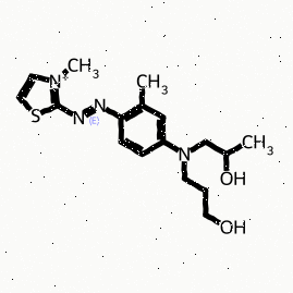 Cc1cc(N(CCCO)CC(C)O)ccc1/N=N/c1scc[n+]1C